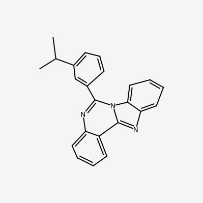 CC(C)c1cccc(-c2nc3ccccc3c3nc4ccccc4n23)c1